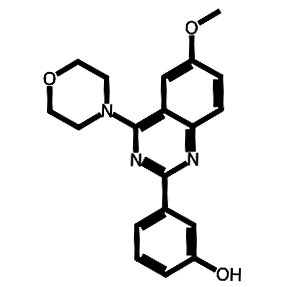 COc1ccc2nc(-c3cccc(O)c3)nc(N3CCOCC3)c2c1